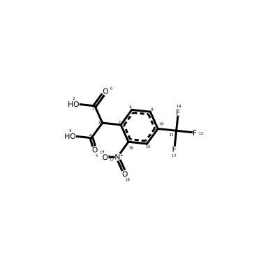 O=C(O)C(C(=O)O)c1ccc(C(F)(F)F)cc1[N+](=O)[O-]